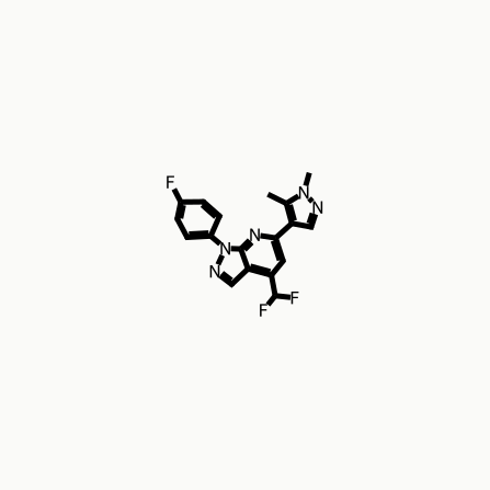 Cc1c(-c2cc(C(F)F)c3cnn(-c4ccc(F)cc4)c3n2)cnn1C